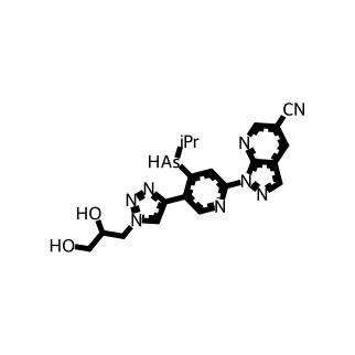 CC(C)[AsH]c1cc(-n2ncc3cc(C#N)cnc32)ncc1-c1cn(CC(O)CO)nn1